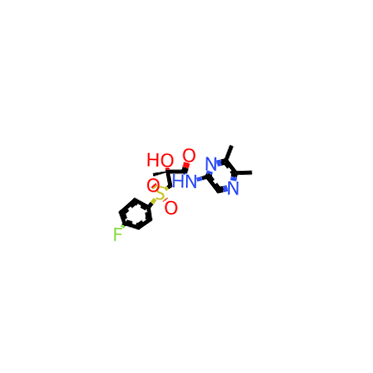 Cc1ncc(NC(=O)[C@@](C)(O)CS(=O)(=O)c2ccc(F)cc2)nc1C